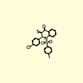 Cc1ccc(S(=O)(=O)N2c3ccccc3C(=O)C(=S)C2c2ccc(Cl)cc2)cc1